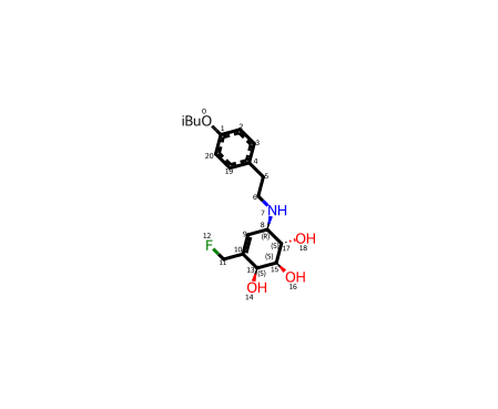 CC(C)COc1ccc(CCN[C@@H]2C=C(CF)[C@H](O)[C@H](O)[C@H]2O)cc1